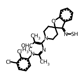 C/C(=N/C(=C(/C)C=O)N1CCC2(CC1)Oc1ccccc1/C2=N\S)N(C)c1cccc(Cl)c1Cl